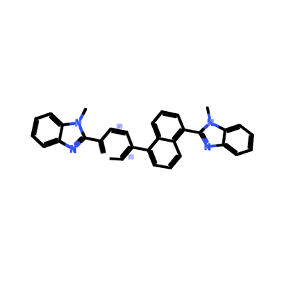 C=C(/C=C\C(=C/C)c1cccc2c(-c3nc4ccccc4n3C)cccc12)c1nc2ccccc2n1C